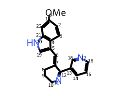 COc1ccc2c(C=C3CCCN=C3c3cccnc3)c[nH]c2c1